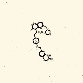 N[C@H]1COC[C@H]1Oc1ccc2ncc(F)c(CCC34CCC(NCc5ccc6c(n5)NC(=O)CO6)(CC3)CO4)c2n1